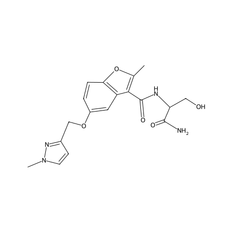 Cc1oc2ccc(OCc3ccn(C)n3)cc2c1C(=O)NC(CO)C(N)=O